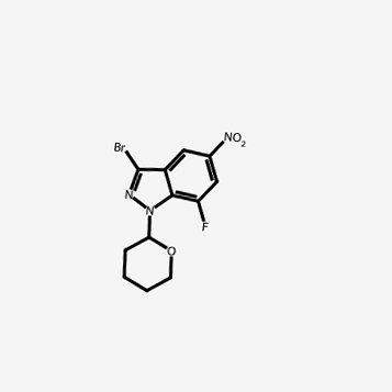 O=[N+]([O-])c1cc(F)c2c(c1)c(Br)nn2C1CCCCO1